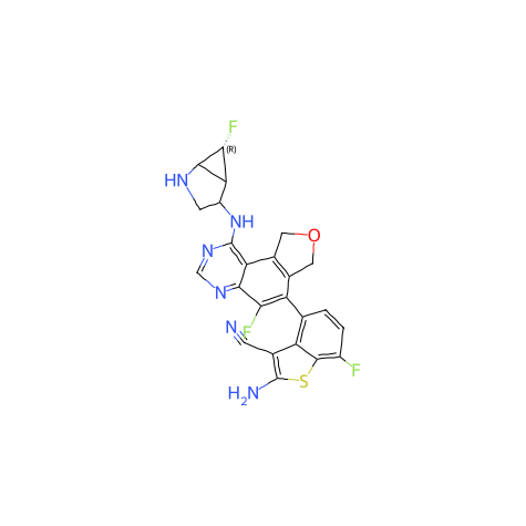 N#Cc1c(N)sc2c(F)ccc(-c3c4c(c5c(NC6CNC7C6[C@H]7F)ncnc5c3F)COC4)c12